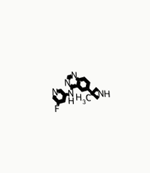 CC1(c2ccc3ncnc(Nc4cncc(F)c4)c3c2)CNC1